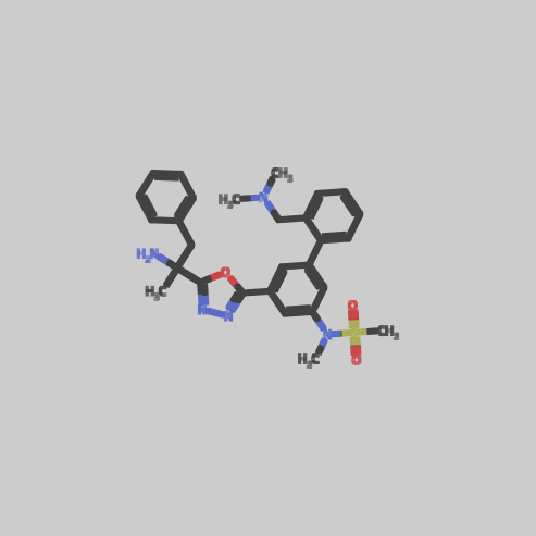 CN(C)Cc1ccccc1-c1cc(-c2nnc(C(C)(N)Cc3ccccc3)o2)cc(N(C)S(C)(=O)=O)c1